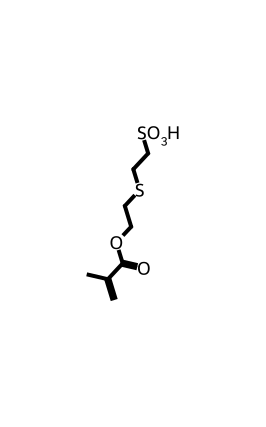 C=C(C)C(=O)OCCSCCS(=O)(=O)O